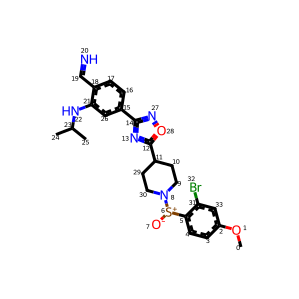 COc1ccc([S+]([O-])N2CCC(c3nc(-c4ccc(C=N)c(NC(C)C)c4)no3)CC2)c(Br)c1